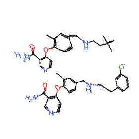 Cc1cc(CNCCC(C)(C)C)ccc1Oc1ccncc1C(N)=O.Cc1cc(CNCCc2cccc(Cl)c2)ccc1Oc1ccncc1C(N)=O